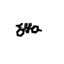 Cc1ccc(S(=O)(=O)N[C@H]2CCCC[C@@H]2N(C)C)cc1